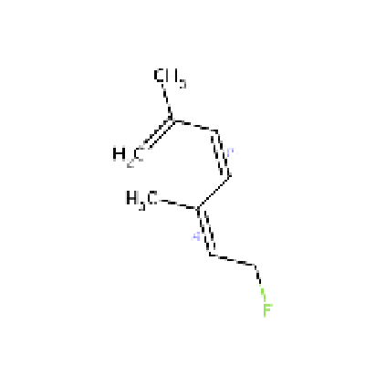 C=C(C)/C=C\C(C)=C/CF